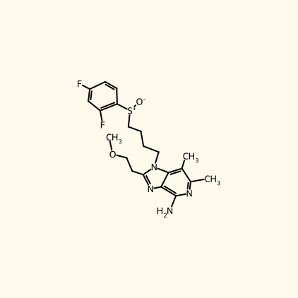 COCCc1nc2c(N)nc(C)c(C)c2n1CCCC[S+]([O-])c1ccc(F)cc1F